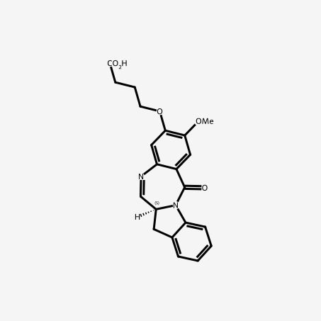 COc1cc2c(cc1OCCCC(=O)O)N=C[C@@H]1Cc3ccccc3N1C2=O